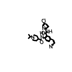 CC(C)N1CCC(C(=O)Nc2ccc(/C=C\C#N)cc2C(=O)Nc2ccc(Cl)cn2)CC1